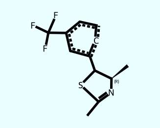 CC1=N[C@H](C)C(c2cccc(C(F)(F)F)c2)S1